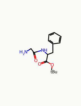 CC(C)(C)OC(=O)C(Cc1ccccc1)NC(=O)CN